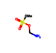 COS(=O)(=O)OCN